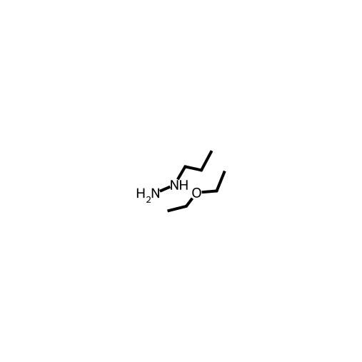 CCCNN.CCOCC